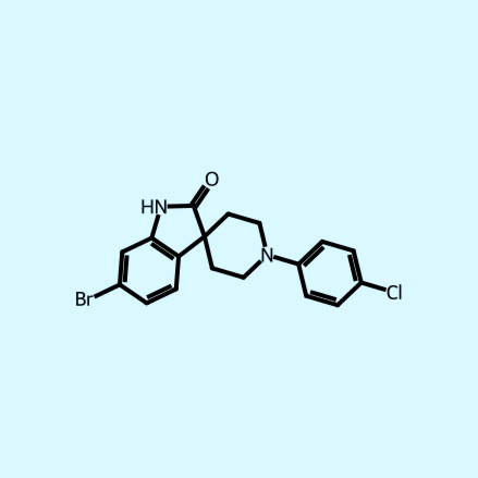 O=C1Nc2cc(Br)ccc2C12CCN(c1ccc(Cl)cc1)CC2